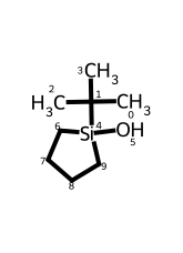 CC(C)(C)[Si]1(O)CCCC1